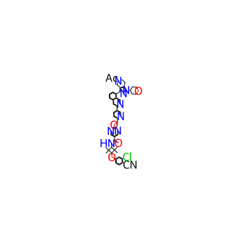 CC(=O)N1CCc2c(c(-c3cccc4cc(-c5ccc(COc6ncc(C(=O)NC7C(C)(C)C(Oc8ccc(C#N)c(Cl)c8)C7(C)C)cn6)nc5)ncc34)nn2C2CCOCC2)C1